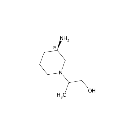 CC(CO)N1CCC[C@@H](N)C1